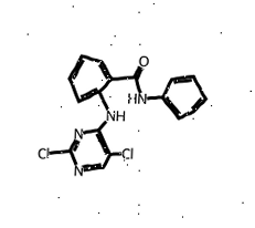 O=C(Nc1ccccc1)c1ccccc1Nc1nc(Cl)ncc1Cl